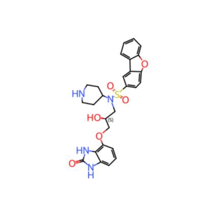 O=c1[nH]c2cccc(OC[C@@H](O)CN(C3CCNCC3)S(=O)(=O)c3ccc4oc5ccccc5c4c3)c2[nH]1